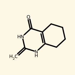 C=C1NC(=O)C2=C(CCCC2)N1